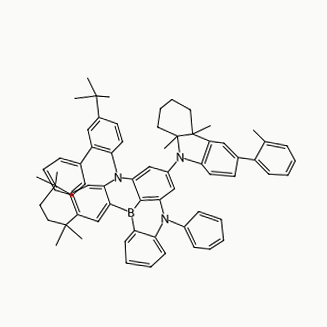 Cc1ccccc1-c1ccc2c(c1)C1(C)CCCCC1(C)N2c1cc2c3c(c1)N(c1ccc(C(C)(C)C)cc1-c1ccccc1)c1cc4c(cc1B3c1ccccc1N2c1ccccc1)C(C)(C)CCC4(C)C